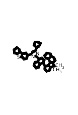 CC1(C)c2cccc(-c3ccc(-c4nc(-c5ccccc5)cc(-c5ccc6sc7ccccc7c6c5)n4)c4ccccc34)c2-c2c1ccc1ccccc21